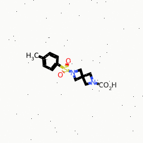 Cc1ccc(S(=O)(=O)N2CC3(CN(C(=O)O)C3)C2)cc1